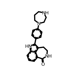 O=C1NCCc2c(-c3ccc(N4CCCNCC4)cc3)[nH]c3cccc1c23